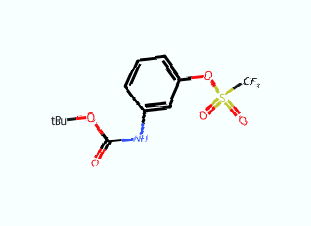 CC(C)(C)OC(=O)Nc1cccc(OS(=O)(=O)C(F)(F)F)c1